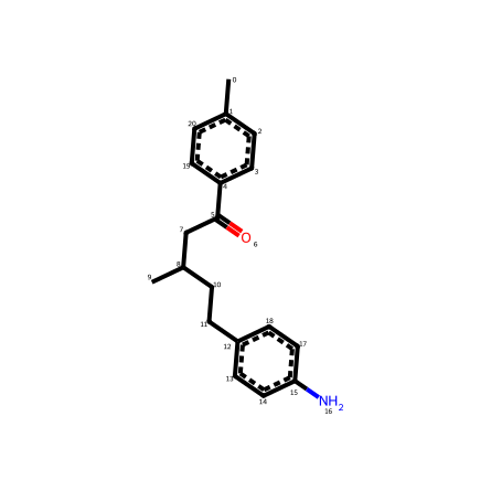 Cc1ccc(C(=O)CC(C)CCc2ccc(N)cc2)cc1